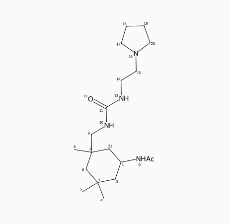 CC(=O)NC1CC(C)(C)CC(C)(CNC(=O)NCCN2CCCC2)C1